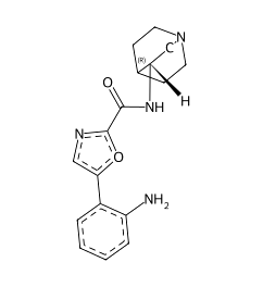 Nc1ccccc1-c1cnc(C(=O)N[C@H]2CN3CCC2CC3)o1